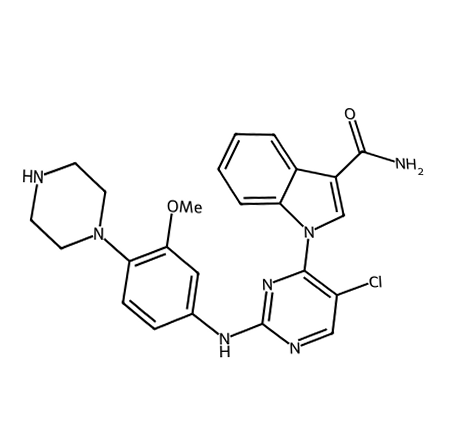 COc1cc(Nc2ncc(Cl)c(-n3cc(C(N)=O)c4ccccc43)n2)ccc1N1CCNCC1